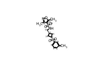 Cc1cccc(S(=O)(=O)[C@H]2C[C@H](CNS(=O)(=O)c3c(C)noc3C)C2)c1